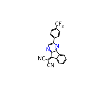 N#CC(C#N)=C1c2ccccc2-c2nc(-c3ccc(C(F)(F)F)cc3)cnc21